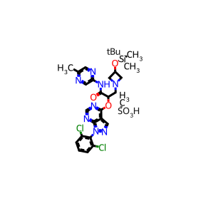 CS(=O)(=O)O.Cc1cnc(NC(=O)C(CN2CC(O[Si](C)(C)C(C)(C)C)C2)Oc2ncnc3c2cnn3-c2c(Cl)cccc2Cl)cn1